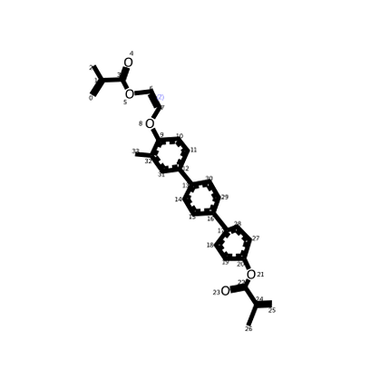 C=C(C)C(=O)O/C=C\Oc1ccc(-c2ccc(-c3ccc(OC(=O)C(=C)C)cc3)cc2)cc1C